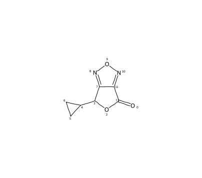 O=C1OC(C2CC2)c2nonc21